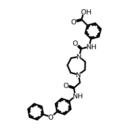 O=C(CN1CCCN(C(=O)Nc2cccc(C(=O)O)c2)CC1)Nc1ccc(Oc2ccccc2)cc1